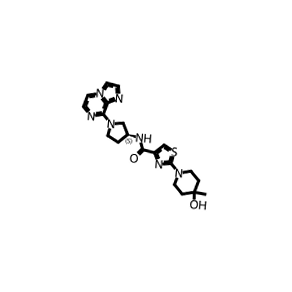 CC1(O)CCN(c2nc(C(=O)N[C@H]3CCN(c4nccn5ccnc45)C3)cs2)CC1